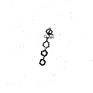 CC1(NC(=O)C2CCN(c3ccc(-c4ccccc4)cc3)CC2)CN2CCC1CC2